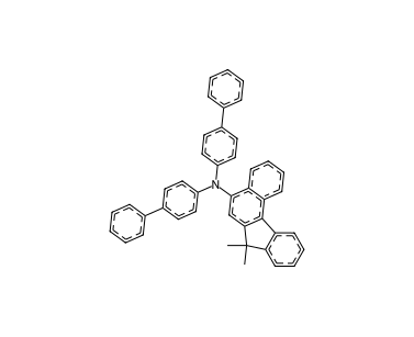 CC1(C)c2ccccc2-c2c1cc(N(c1ccc(-c3ccccc3)cc1)c1ccc(-c3ccccc3)cc1)c1ccccc21